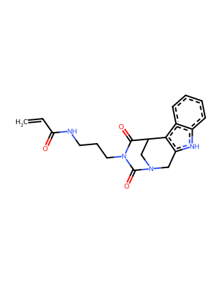 C=CC(=O)NCCCN1C(=O)C2CN(Cc3[nH]c4ccccc4c32)C1=O